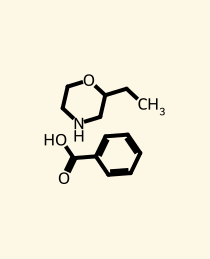 CCC1CNCCO1.O=C(O)c1ccccc1